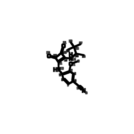 COc1cc(C#N)ccc1Nc1c(NC(C)C(C)(C)C)c(=O)c1=O